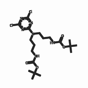 CC(C)(C)OC(=O)NCCCN(CCCNC(=O)OC(C)(C)C)c1nc(Cl)nc(Cl)n1